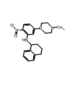 CN1CCN(c2ccc([N+](=O)[O-])c(NC3CCCc4ccccc43)c2)CC1